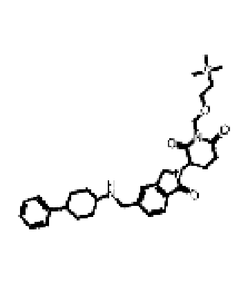 C[Si](C)(C)CCOCN1C(=O)CCC(N2Cc3cc(CNC4CCC(c5ccccc5)CC4)ccc3C2=O)C1=O